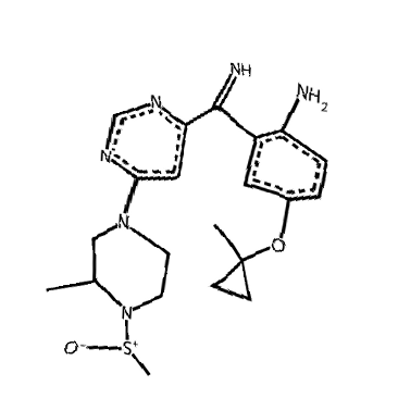 CC1CN(c2cc(C(=N)c3cc(OC4(C)CC4)ccc3N)ncn2)CCN1[S+](C)[O-]